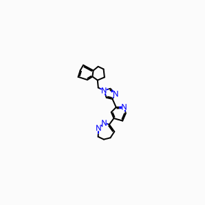 C1=C(c2ccnc(-c3cn(CC4CCCc5ccccc54)cn3)c2)N=NCCC1